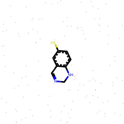 Sc1ccc2c(c1)C=NCN2